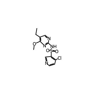 CCc1cnc(NS(=O)(=O)c2cnccc2Cl)nc1OC